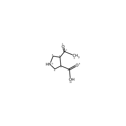 CC(=O)C1CNCC1C(=O)O